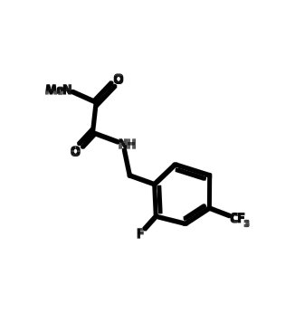 CNC(=O)C(=O)NCc1ccc(C(F)(F)F)cc1F